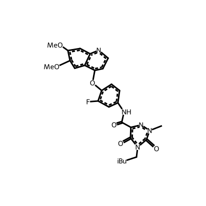 CCC(C)Cn1c(=O)c(C(=O)Nc2ccc(Oc3ccnc4cc(OC)c(OC)cc34)c(F)c2)nn(C)c1=O